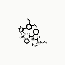 CN[C@@H](C)C(=O)N[C@H](C(=O)N1CCC[C@H]1C(=O)Nc1snnc1-c1ccc(CI)c(CI)c1)C1CCCCC1